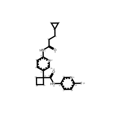 O=C(CCC1CC1)Nc1ccc(C2(C(=O)Nc3ccc(F)nc3)CCC2)cn1